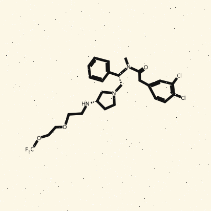 CN(C(=O)Cc1ccc(Cl)c(Cl)c1)[C@H](CN1CC[C@H](NCCOCCOC(F)(F)F)C1)c1ccccc1